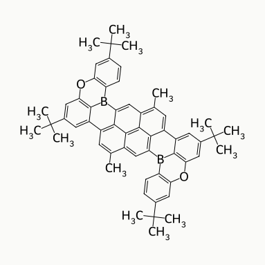 Cc1cc2c3c(cc4c(C)cc5c6c(cc1c3c46)B1c3ccc(C(C)(C)C)cc3Oc3cc(C(C)(C)C)cc-5c31)B1c3ccc(C(C)(C)C)cc3Oc3cc(C(C)(C)C)cc-2c31